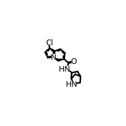 O=C(NC1CC2CNC1C2)c1ccc2c(Cl)ccn2c1